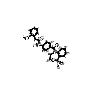 COc1ccccc1CC(=O)Nc1ccc(C(=O)N2CCCC(N(C)C)c3ccccc32)cc1